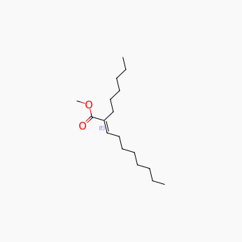 CCCCCCC/C=C(\CCCCCC)C(=O)OC